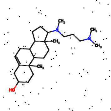 CN(C)CCCN(C)C1CCC2C3CC=C4CC(O)CCC4(C)C3CCC21C